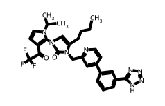 CCCCc1cn(-c2c(C(=O)C(F)(F)F)ccn2C(C)C)c(=O)n1Cc1cc(-c2cccc(-c3nnn[nH]3)c2)ccn1